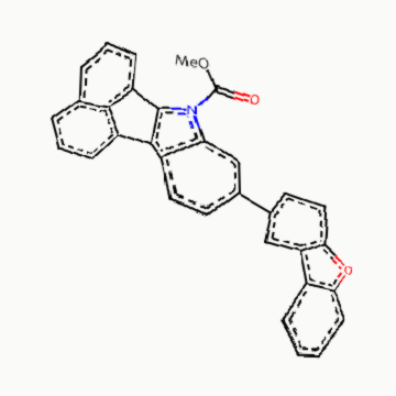 COC(=O)n1c2c(c3ccc(-c4ccc5oc6ccccc6c5c4)cc31)-c1cccc3cccc-2c13